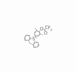 Cc1cc([S+]2c3ccccc3Cc3ccccc32)cc(C)c1OC(=O)C(F)(F)F